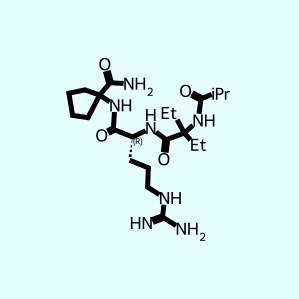 CCC(CC)(NC(=O)C(C)C)C(=O)N[C@H](CCCNC(=N)N)C(=O)NC1(C(N)=O)CCCC1